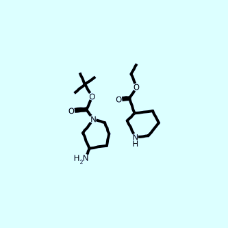 CC(C)(C)OC(=O)N1CCCC(N)C1.CCOC(=O)C1CCCNC1